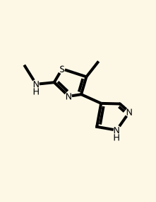 CNc1nc(-c2cn[nH]c2)c(C)s1